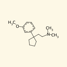 COc1cccc(C2(CCN(C)C)CCCC2)c1